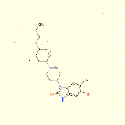 CCCOC1CCC(N2CCC(n3c(=O)[nH]c4cc(Br)c(C)cc43)CC2)CC1